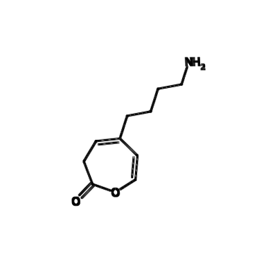 NCCCCC1=CCC(=O)OC=C1